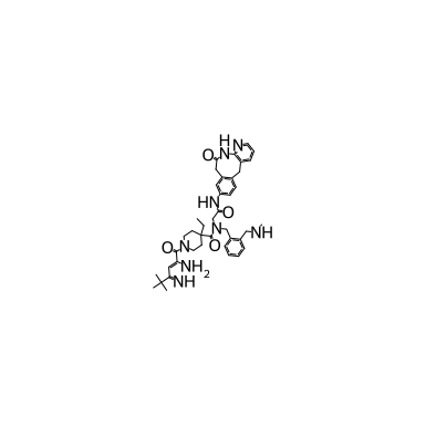 CCC1(C(=O)N(CC(=O)Nc2ccc3c(c2)CC(=O)Nc2ncccc2C3)Cc2ccccc2CNC)CCN(C(=O)/C(N)=C/C(=N)C(C)(C)C)CC1